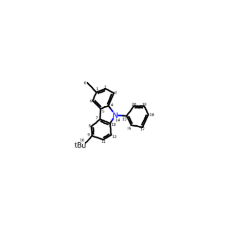 Cc1ccc2c(c1)c1cc(C(C)(C)C)ccc1n2-c1ccccc1